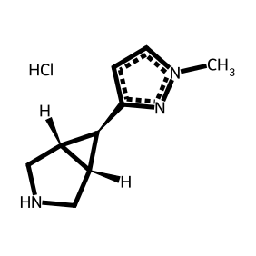 Cl.Cn1ccc([C@H]2[C@@H]3CNC[C@@H]32)n1